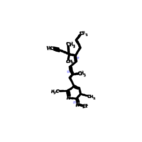 C#CC(C)(C)/C(=C\C=C(/C)CC1=CC(C)/C(=N\CC)N=C1C)CCC(F)(F)F